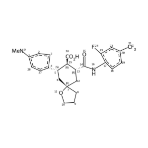 CNc1ccc([C@H]2C[C@]3(CCCO3)C[C@@H](C(=O)Nc3ccc(C(F)(F)F)cc3F)[C@@H]2C(=O)O)cc1